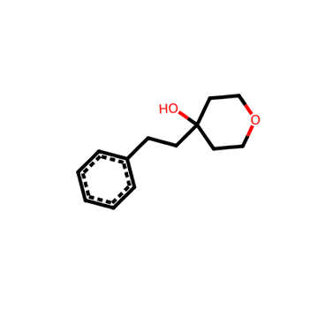 OC1(CCc2ccccc2)CCOCC1